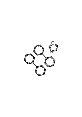 c1ccc(-c2ccccc2)cc1.c1ccc(-c2ccccc2)cc1.c1cocn1